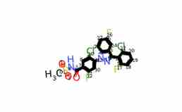 CS(=O)(=O)NC(=O)c1cc(Cl)c(-n2nc(-c3c(F)cccc3Cl)c3cc(F)ccc32)cc1F